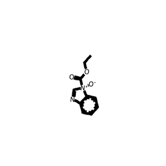 CCOC(=O)[N+]1([O-])C=Nc2ccccc21